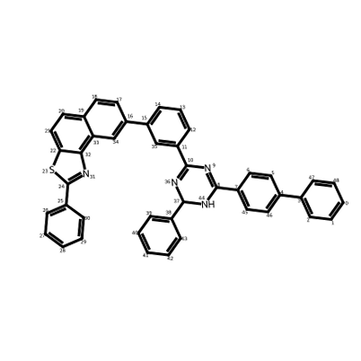 c1ccc(-c2ccc(C3=NC(c4cccc(-c5ccc6ccc7sc(-c8ccccc8)nc7c6c5)c4)=NC(c4ccccc4)N3)cc2)cc1